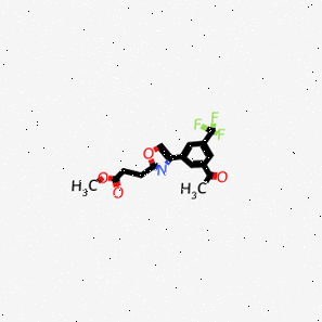 COC(=O)CCc1nc(-c2cc(C(C)=O)cc(C(F)(F)F)c2)co1